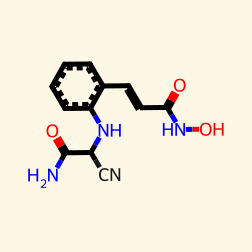 N#CC(Nc1ccccc1/C=C/C(=O)NO)C(N)=O